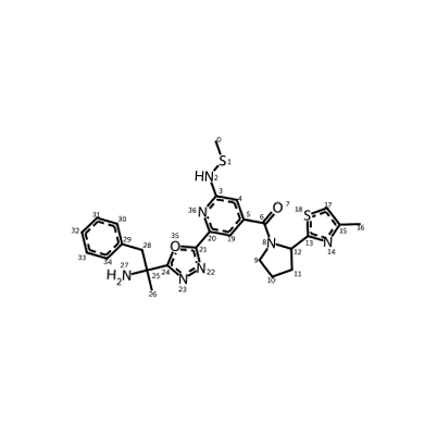 CSNc1cc(C(=O)N2CCCC2c2nc(C)cs2)cc(-c2nnc(C(C)(N)Cc3ccccc3)o2)n1